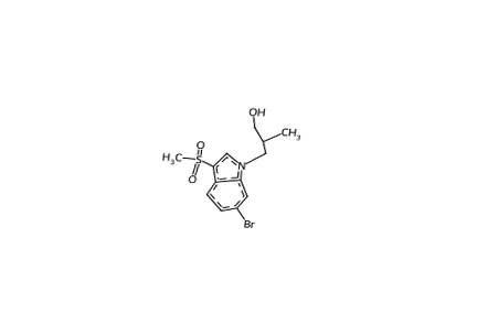 CC(CO)Cn1cc(S(C)(=O)=O)c2ccc(Br)cc21